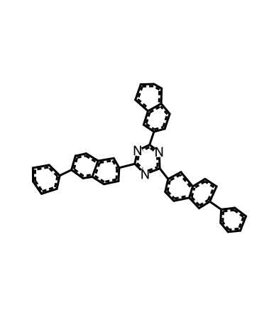 c1ccc(-c2ccc3cc(-c4nc(-c5ccc6ccccc6c5)nc(-c5ccc6cc(-c7ccccc7)ccc6c5)n4)ccc3c2)cc1